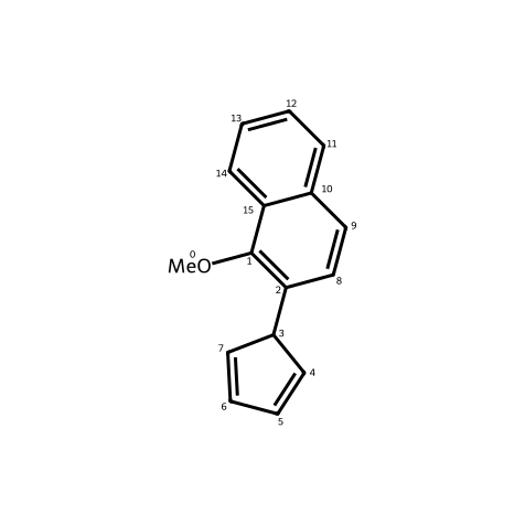 COc1c(C2C=CC=C2)ccc2ccccc12